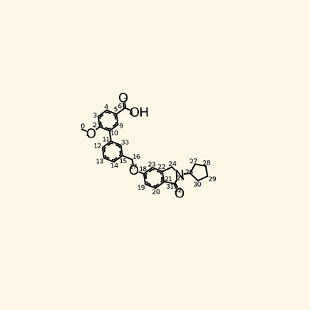 COc1ccc(C(=O)O)cc1-c1cccc(COc2ccc3c(c2)CN(C2CCCC2)C3=O)c1